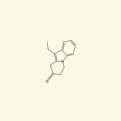 CCc1c2n(c3ccccc13)CCC(=O)C2